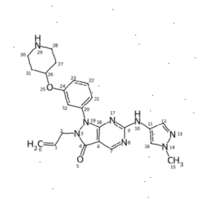 C=CCn1c(=O)c2cnc(Nc3cnn(C)c3)nc2n1-c1cccc(OC2CCNCC2)c1